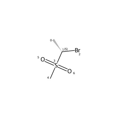 C[C@H](Br)S(C)(=O)=O